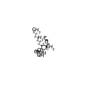 CCCCCCCCc1ccccc1OP(=O)(O)O.CCOCC